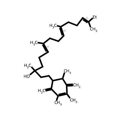 C=C1C(C)=C(C)C(=C)C(CCC(C)(O)CC/C=C(\C)CC/C=C(\C)CC/C=C(\C)CC)C1C